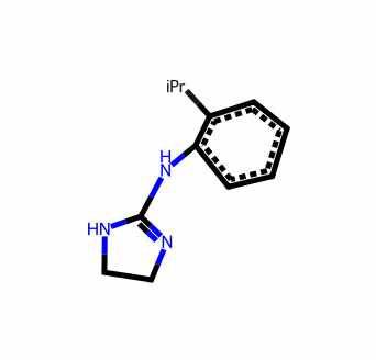 CC(C)c1ccccc1NC1=NCCN1